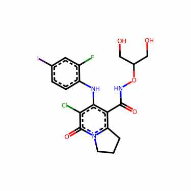 O=C(NOC(CO)CO)c1c(Nc2ccc(I)cc2F)c(Cl)c(=O)n2c1CCC2